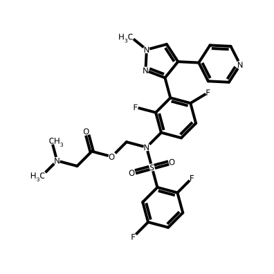 CN(C)CC(=O)OCN(c1ccc(F)c(-c2nn(C)cc2-c2ccncc2)c1F)S(=O)(=O)c1cc(F)ccc1F